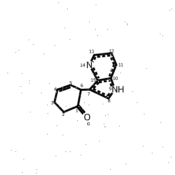 O=C1CCC=CC1c1c[nH]c2cccnc12